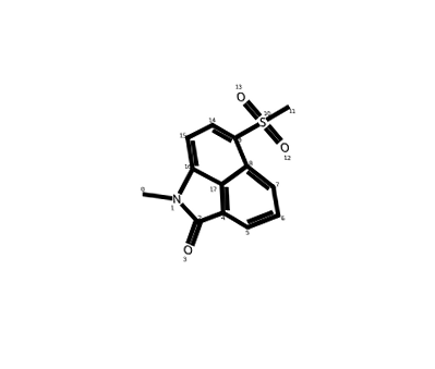 CN1C(=O)c2cccc3c(S(C)(=O)=O)ccc1c23